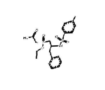 CCO[P@](=O)(CC(=O)O)CC(Cc1ccccc1)NS(=O)(=O)c1ccc(C)cc1